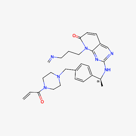 C=CC(=O)N1CCN(Cc2ccc([C@H](C)Nc3ncc4ccc(=O)n(CCCN=C)c4n3)cc2)CC1